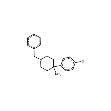 NC1(c2ccc(Cl)nc2)CCN(Cc2ccccc2)CC1